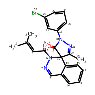 CC(C)=CC(=O)N1N=Cc2ccccc2C12C(=O)N(c1cccc(Br)c1)N=C2C